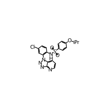 CC(C)Oc1ccc(S(=O)(=O)Nc2ccc(Cl)cc2-n2nnc3ncccc32)cc1